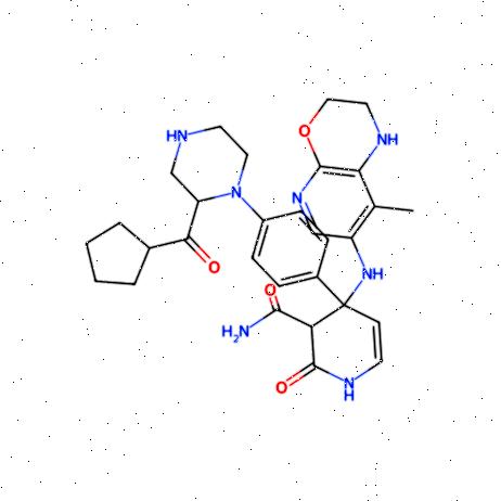 Cc1c(NC2(c3ccc(N4CCNCC4C(=O)C4CCCC4)cc3)C=CNC(=O)C2C(N)=O)cnc2c1NCCO2